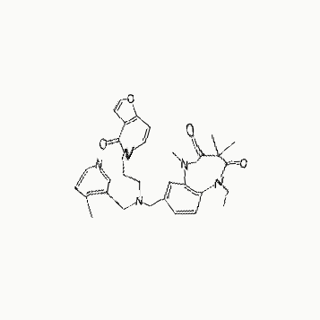 CCN1C(=O)C(C)(C)C(=O)N(C)c2cc(CN(CCn3ccc4occc4c3=O)Cc3cnccc3C)ccc21